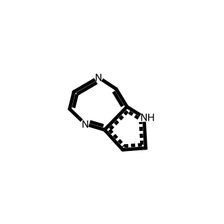 C1=CN=c2cc[nH]c2=CN=1